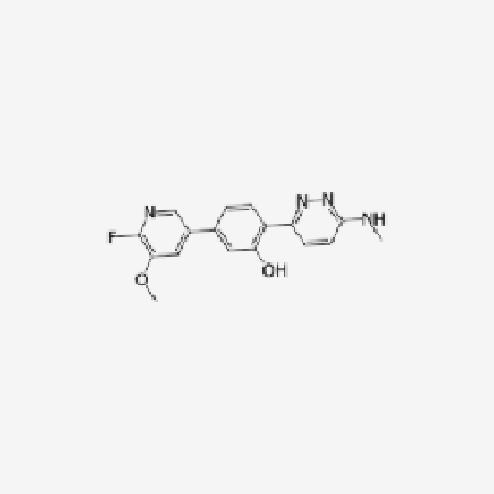 CNc1ccc(-c2ccc(-c3cnc(F)c(OC)c3)cc2O)nn1